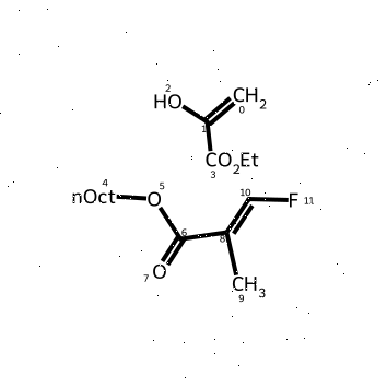 C=C(O)C(=O)OCC.CCCCCCCCOC(=O)C(C)=CF